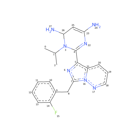 CC(C)N1C(c2nc(Cc3ccccc3F)n3ncccc23)=NC(N)=[C]C1N